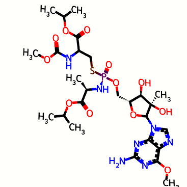 COC(=O)NC(CS[P@@](=O)(N[C@H](C)C(=O)OC(C)C)OC[C@H]1OC(n2cnc3c(OC)nc(N)nc32)[C@](C)(O)[C@@H]1O)C(=O)OC(C)C